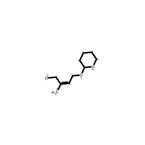 CC(=CCOC1CCCCO1)CCl